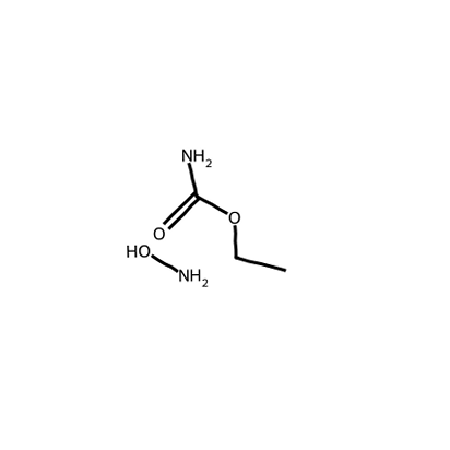 CCOC(N)=O.NO